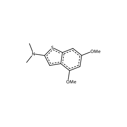 COc1cc(OC)c2cc(N(C)C)sc2c1